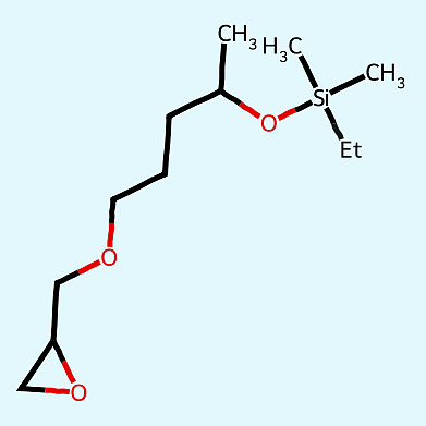 CC[Si](C)(C)OC(C)CCCOCC1CO1